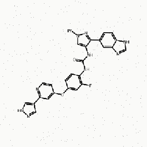 CC(C)n1cc(NC(=O)Nc2ccc(Oc3ccnc(-c4cn[nH]c4)c3)cc2F)c(-c2ccc3[nH]cnc3c2)n1